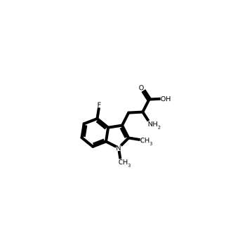 Cc1c(CC(N)C(=O)O)c2c(F)cccc2n1C